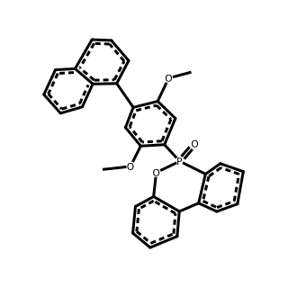 COc1cc(P2(=O)Oc3ccccc3-c3ccccc32)c(OC)cc1-c1cccc2ccccc12